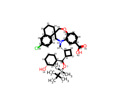 CC(C)(C)[Si](C)(C)OC([C@@H]1CCC[C@@H](O)C1)[C@@H]1CC[C@H]1CN1CC2(CCCc3cc(Cl)ccc32)COc2ccc(C(=O)O)cc21